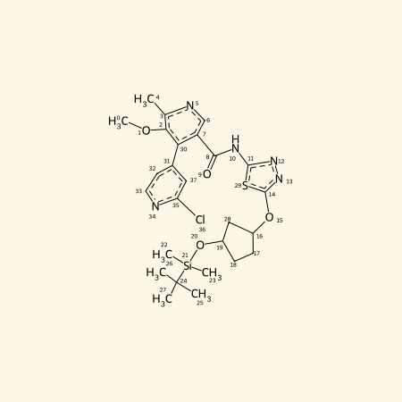 COc1c(C)ncc(C(=O)Nc2nnc(OC3CCC(O[Si](C)(C)C(C)(C)C)C3)s2)c1-c1ccnc(Cl)c1